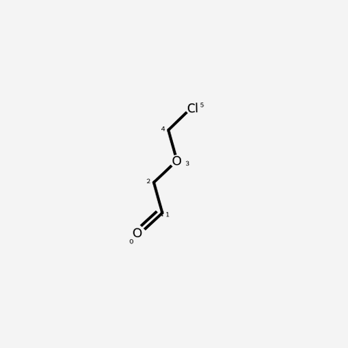 O=[C]COCCl